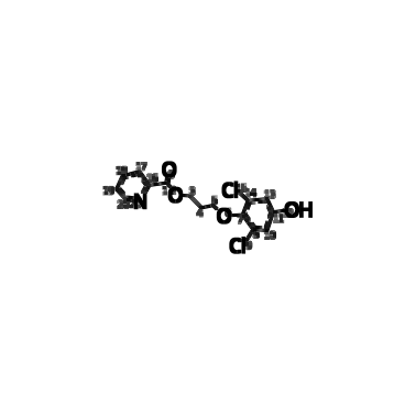 O=C(OCCCOc1c(Cl)cc(O)cc1Cl)c1ccccn1